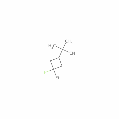 CCC1(F)CC(C(C)(C)C#N)C1